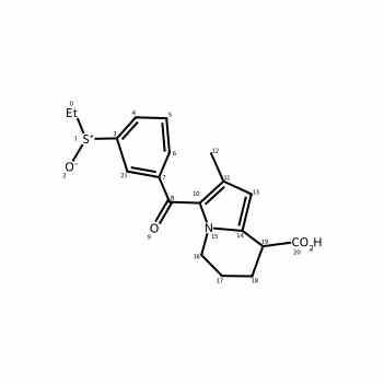 CC[S+]([O-])c1cccc(C(=O)c2c(C)cc3n2CCCC3C(=O)O)c1